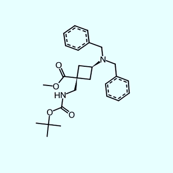 COC(=O)[C@]1(CNC(=O)OC(C)(C)C)C[C@@H](N(Cc2ccccc2)Cc2ccccc2)C1